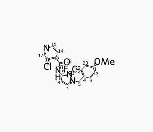 COc1ccc(Cn2ccc(NC(=O)c3ccncc3Cl)n2)c(C(F)(F)F)c1